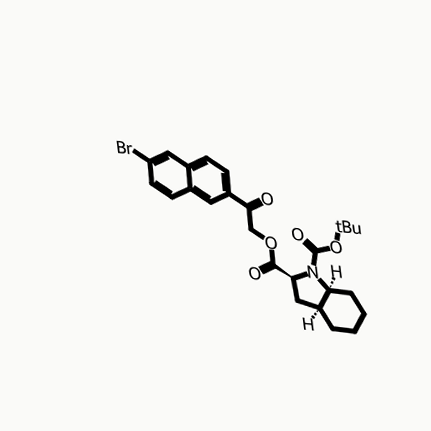 CC(C)(C)OC(=O)N1[C@H](C(=O)OCC(=O)c2ccc3cc(Br)ccc3c2)C[C@@H]2CCCC[C@@H]21